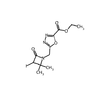 CCOC(=O)c1nnc(CN2C(=O)C(I)C2(C)C)o1